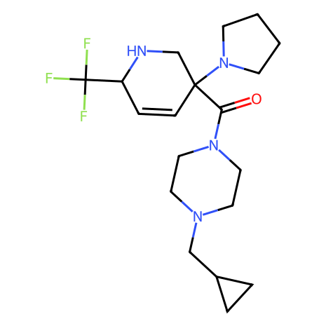 O=C(N1CCN(CC2CC2)CC1)C1(N2CCCC2)C=CC(C(F)(F)F)NC1